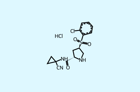 Cl.N#CC1(NC(=O)[C@@H]2C[C@@H](S(=O)(=O)c3ccccc3Cl)CN2)CC1